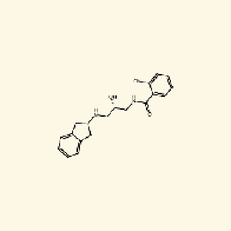 O=C(NC[C@@H](O)CNC1Cc2ccccc2C1)c1ccccc1Cl